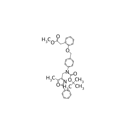 COC(=O)Cc1ccccc1OCc1ccc(N(Cc2nc(-c3ccccc3)oc2C)C(=O)OC(C)(C)C)cc1